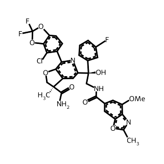 COc1cc(C(=O)NC[C@@](O)(c2cccc(F)c2)c2cc3c(c(-c4ccc5c(c4Cl)OC(F)(F)O5)n2)OC[C@]3(C)C(N)=O)cc2oc(C)nc12